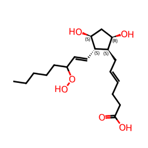 CCCCCC(C=C[C@H]1[C@H](CC=CCCC(=O)O)[C@H](O)C[C@@H]1O)OO